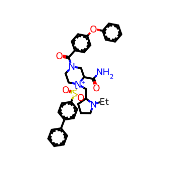 CCN1CCCC1C[N+]1(S(=O)(=O)c2ccc(-c3ccccc3)cc2)CCN(C(=O)c2ccc(Oc3ccccc3)cc2)CC1C(N)=O